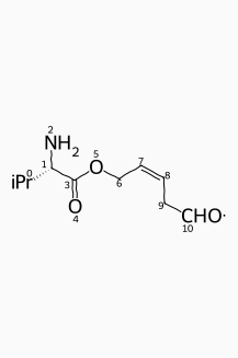 CC(C)[C@H](N)C(=O)OC/C=C\C[C]=O